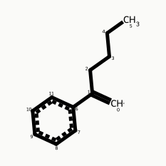 [CH]=C(CCCC)c1ccccc1